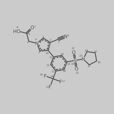 N#Cc1cn(CC(=O)O)cc1-c1cc(C(F)(F)F)cc(S(=O)(=O)N2CCCC2)c1